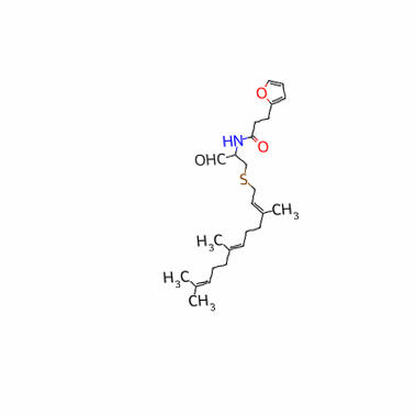 CC(C)=CCC/C(C)=C/CC/C(C)=C/CSCC(C=O)NC(=O)CCc1ccco1